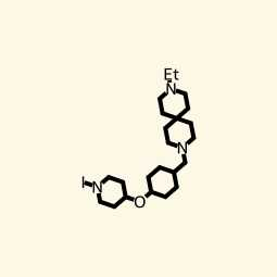 CCN1CCC2(CC1)CCN(CC1CCC(OC3CCN(I)CC3)CC1)CC2